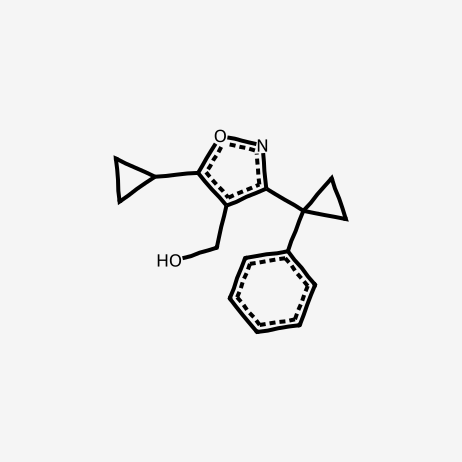 OCc1c(C2(c3ccccc3)CC2)noc1C1CC1